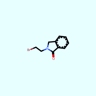 O=C1c2ccccc2CN1CCBr